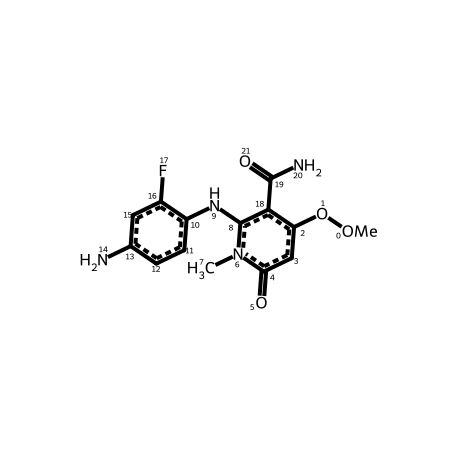 COOc1cc(=O)n(C)c(Nc2ccc(N)cc2F)c1C(N)=O